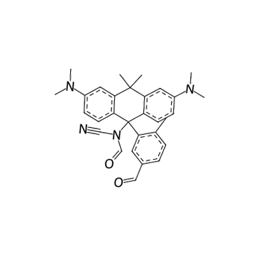 Cc1ccc(C=O)cc1C1(N(C#N)C=O)c2ccc(N(C)C)cc2C(C)(C)c2cc(N(C)C)ccc21